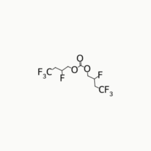 O=C(OCC(F)CC(F)(F)F)OCC(F)CC(F)(F)F